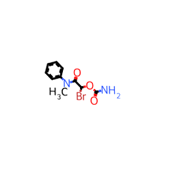 CN(C(=O)C(Br)OC(N)=O)c1ccccc1